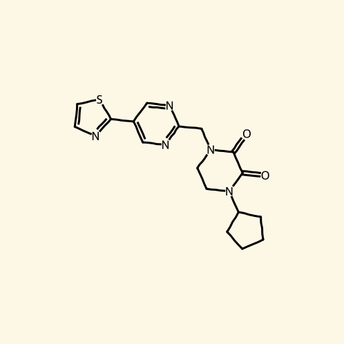 O=C1C(=O)N(C2CCCC2)CCN1Cc1ncc(-c2nccs2)cn1